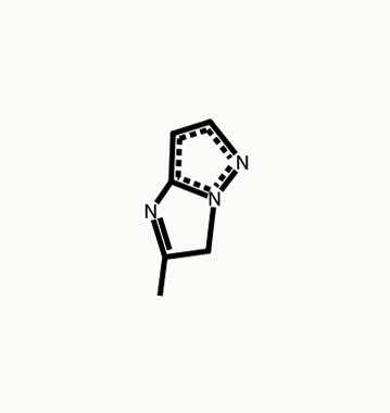 CC1=Nc2ccnn2C1